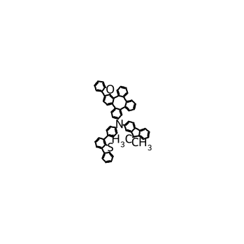 CC1(C)c2ccccc2-c2ccc(N(c3ccc(-c4cccc5c4sc4ccccc45)cc3)c3ccc4c(c3)-c3ccccc3-c3ccccc3-c3c-4ccc4c3oc3ccccc34)cc21